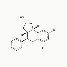 O[C@H]1C[C@@H]2[C@H](C1)c1cc(Br)cc(F)c1N[C@H]2c1ccccc1